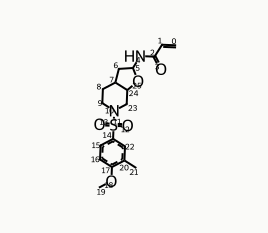 C=CC(=O)NC1CC2CCN(S(=O)(=O)c3ccc(OC)c(C)c3)CC2O1